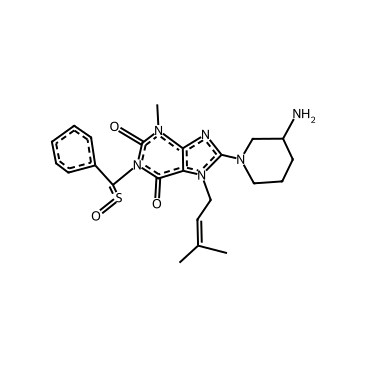 CC(C)=CCn1c(N2CCCC(N)C2)nc2c1c(=O)n(C(=S=O)c1ccccc1)c(=O)n2C